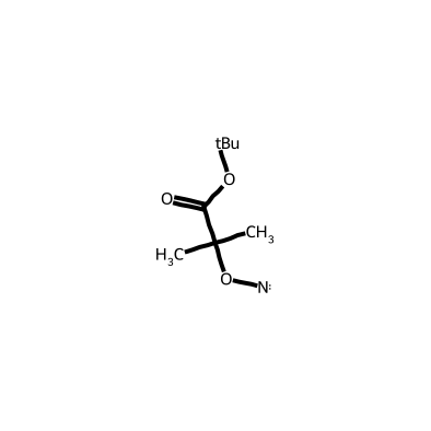 CC(C)(C)OC(=O)C(C)(C)O[N]